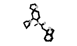 CN(C(=O)Cc1occ2ccccc12)C1CCC2(CCCO2)CC1N1CCCC1